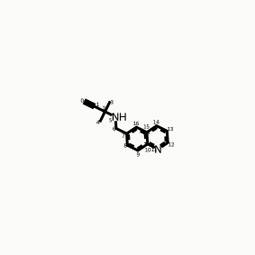 C#CC(C)(C)NCc1ccc2ncccc2c1